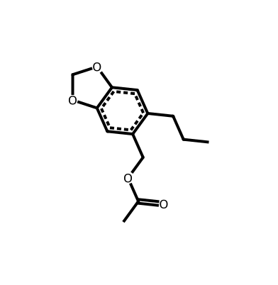 CCCc1cc2c(cc1COC(C)=O)OCO2